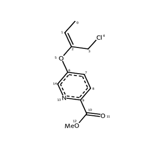 CC=C(CCl)Oc1ccc(C(=O)OC)nc1